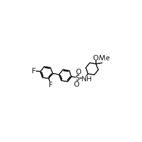 COC1(C)CCC(NS(=O)(=O)c2ccc(-c3ccc(F)cc3F)cc2)CC1